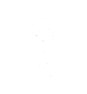 CCC(O)(CC)CCOc1ccc2c(c1)C(C)(C)C1Oc3ccccc3C1C2=O